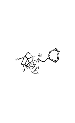 CC[C@]12C[C@@H](C[C@H](C(=O)O)[C@H]1NCc1ccccc1)C2(C)C.Cl